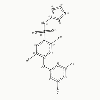 Cc1cc(Cl)cc(Oc2cc(F)c(S(=O)(=O)Nc3ncns3)cc2F)c1